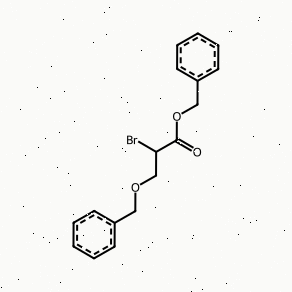 O=C(OCc1ccccc1)C(Br)COCc1ccccc1